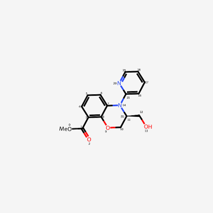 COC(=O)c1cccc2c1OC[C@H](CO)N2c1ccccn1